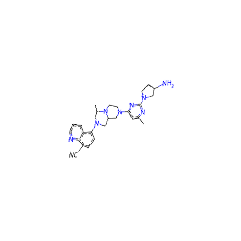 Cc1cc(N2CCN3C(C)CN(c4ccc(C#N)c5ncccc45)CC3C2)nc(N2CCC(N)C2)n1